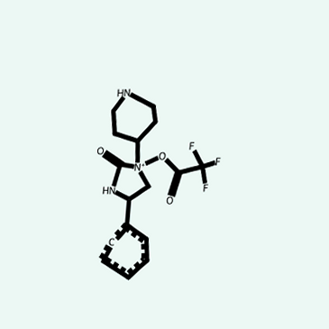 O=C(O[N+]1(C2CCNCC2)CC(c2ccccc2)NC1=O)C(F)(F)F